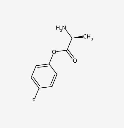 C[C@H](N)C(=O)Oc1ccc(F)cc1